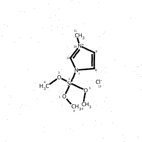 CO[Si](OC)(OC)n1cc[n+](C)c1.[Cl-]